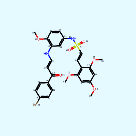 COc1cc(OC)c(C=CS(=O)(=O)Nc2ccc(OC)c(NC=CC(=O)c3ccc(Br)cc3)c2)c(OC)c1